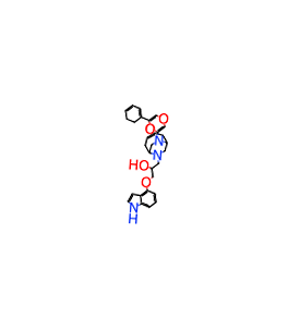 OC(COc1cccc2[nH]ccc12)CN1CC2CC=CCC1CN2C1=COC=C(C2=CC=CCC2)O1